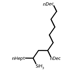 CCCCCCCCCCCCCCCC(CCCCCCCCCC)CC([SiH3])CCCCCCC